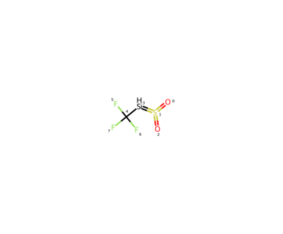 O=S(=O)=[SiH]C(F)(F)F